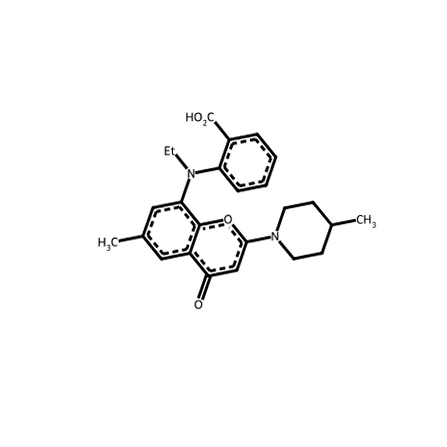 CCN(c1ccccc1C(=O)O)c1cc(C)cc2c(=O)cc(N3CCC(C)CC3)oc12